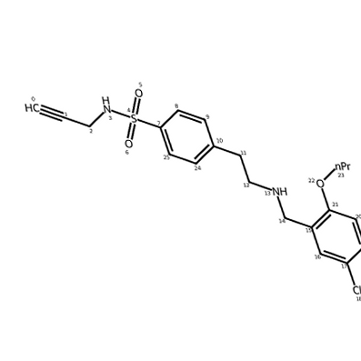 C#CCNS(=O)(=O)c1ccc(CCNCc2cc(Cl)ccc2OCCC)cc1